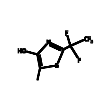 Cc1sc(C(F)(F)C(F)(F)F)nc1O